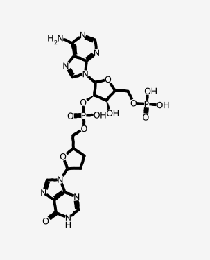 Nc1ncnc2c1ncn2C1OC(COP(=O)(O)O)[C@@H](O)[C@H]1OP(=O)(O)OCC1CCC(n2cnc3c(=O)[nH]cnc32)O1